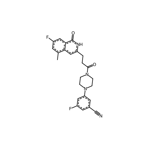 Cc1cc(F)cc2c(=O)[nH]c(CCC(=O)N3CCN(c4cc(F)cc(C#N)c4)CC3)cc12